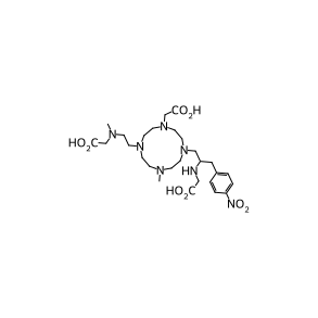 CN1CCN(CCN(C)CC(=O)O)CCN(CC(=O)O)CCN(CC(Cc2ccc([N+](=O)[O-])cc2)NCC(=O)O)CC1